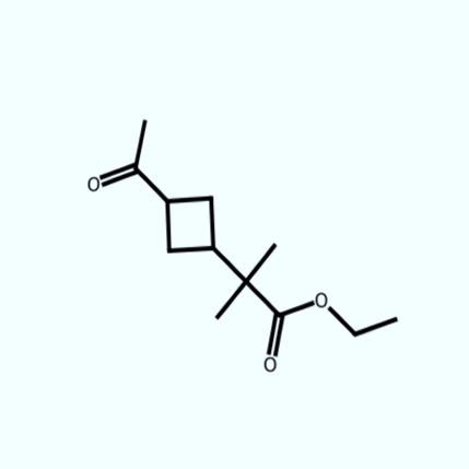 CCOC(=O)C(C)(C)C1CC(C(C)=O)C1